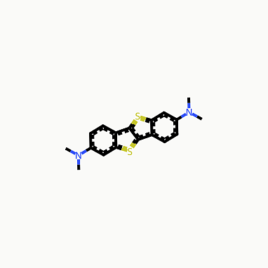 CN(C)c1ccc2c(c1)sc1c3ccc(N(C)C)cc3sc21